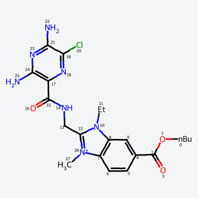 CCCCOC(=O)c1ccc2c(c1)n(CC)c(CNC(=O)c1nc(Cl)c(N)nc1N)[n+]2C